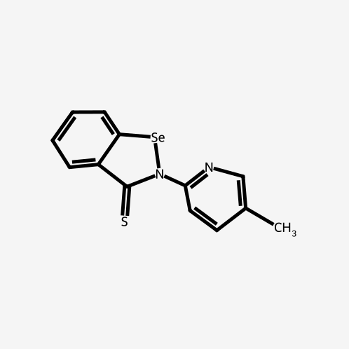 Cc1ccc(-n2[se]c3ccccc3c2=S)nc1